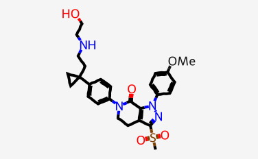 COc1ccc(-n2nc(S(C)(=O)=O)c3c2C(=O)N(c2ccc(C4(CCNCCO)CC4)cc2)CC3)cc1